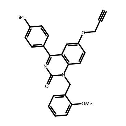 C#CCOc1ccc2c(c1)c(-c1ccc(C(C)C)cc1)nc(=O)n2Cc1ccccc1OC